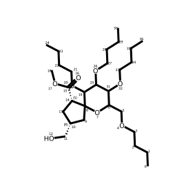 CCCCOCC1OC2(C[C@H](CO)C[C@@H]2C(=O)OC)C(OCCCC)C(OCCCC)C1OCCCC